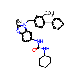 CCCCc1nc2ccc(NC(=O)NC3CCCCC3)cc2n1Cc1ccc(-c2ccccc2)c(C(=O)O)c1